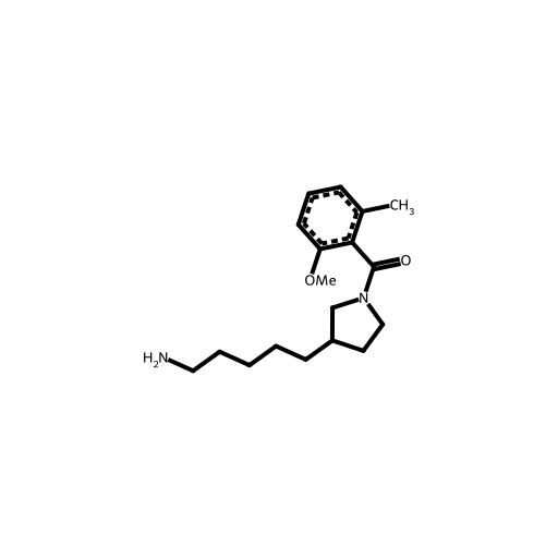 COc1cccc(C)c1C(=O)N1CCC(CCCCCN)C1